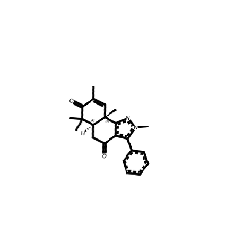 CC1=C[C@]2(C)c3nn(C)c(-c4ccccc4)c3C(=O)C[C@H]2C(C)(C)C1=O